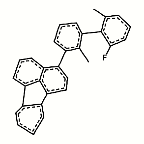 Cc1cccc(F)c1-c1cccc(-c2ccc3c4c(cccc24)-c2ccccc2-3)c1C